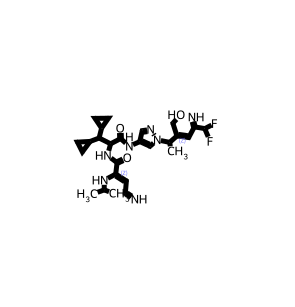 CC(C)N/C(=C\C=N)C(=O)NC(C(=O)Nc1cnn(C(C)/C(=C/C(=N)C(F)F)CO)c1)C(C1CC1)C1CC1